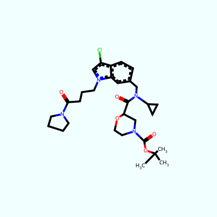 CC(C)(C)OC(=O)N1CCOC(C(=O)N(Cc2ccc3c(Cl)cn(CCCC(=O)N4CCCC4)c3c2)C2CC2)C1